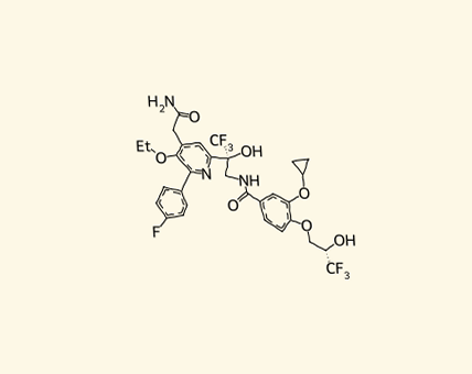 CCOc1c(CC(N)=O)cc([C@@](O)(CNC(=O)c2ccc(OC[C@H](O)C(F)(F)F)c(OC3CC3)c2)C(F)(F)F)nc1-c1ccc(F)cc1